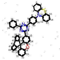 C1=CC2=C(CC1)N(c1ccc(-c3nc(-c4ccccc4)nc(-c4ccc5c(c4)C4(c6ccccc6O5)c5ccccc5-c5ccccc54)n3)cc1)c1ccccc1S2